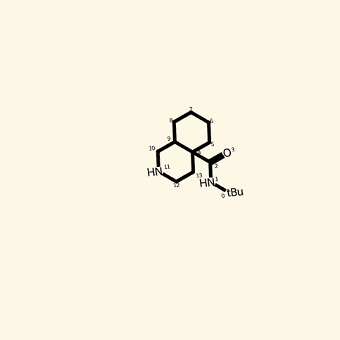 CC(C)(C)NC(=O)C12CCCCC1CNCC2